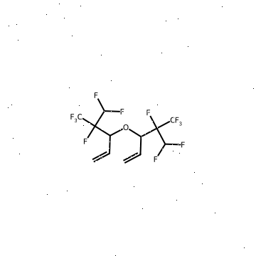 C=CC(OC(C=C)C(F)(C(F)F)C(F)(F)F)C(F)(C(F)F)C(F)(F)F